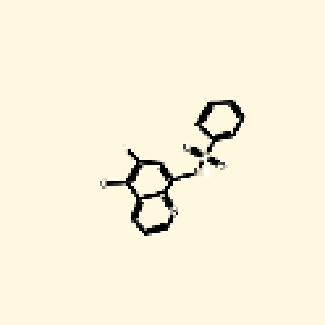 O=S(=O)(Nc1cc(F)c(Cl)c2cccnc12)c1ccccc1